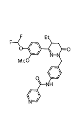 CCC1CC(=O)N(Cc2ccc(NC(=O)c3ccncc3)cc2)N=C1c1ccc(OC(F)F)c(OC)c1